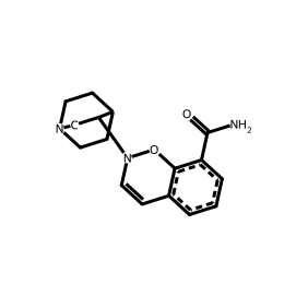 NC(=O)c1cccc2c1ON(C1CN3CCC1CC3)C=C2